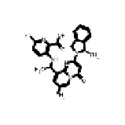 Cc1cc([C@@H](C)Nc2ccc(Cl)nc2C(=O)O)c2nc(N3Cc4ccccc4[C@H]3C)cc(=O)n2c1